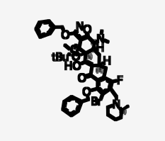 C[C@H]1CCCCN1Cc1c(F)c2c(c(OCc3ccccc3)c1Br)C(=O)C1=C(O)[C@]3(O[Si](C)(C)C(C)(C)C)C(=O)c4c(OCc5ccccc5)noc4[C@@H](N(C)C)[C@@H]3C[C@@H]1C2